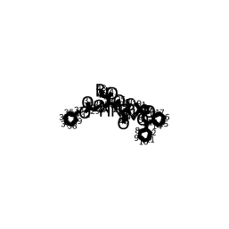 C=CC1(C(=O)OC(c2ccccc2)c2ccccc2)CS[C@@H]2C(NC(=O)C(=NOCC(=O)OCc3ccccc3)C(=O)CBr)C(=O)N2C1